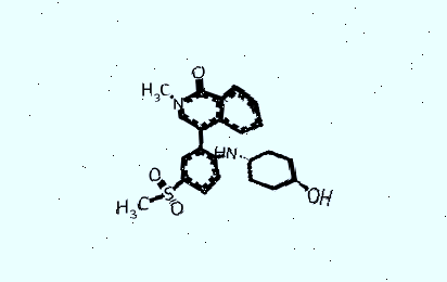 Cn1cc(-c2cc(S(C)(=O)=O)ccc2N[C@H]2CC[C@H](O)CC2)c2ccccc2c1=O